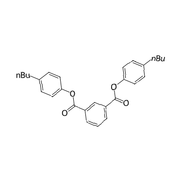 CCCCc1ccc(OC(=O)c2cccc(C(=O)Oc3ccc(CCCC)cc3)c2)cc1